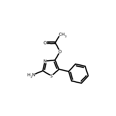 CC(=O)Oc1nc(N)sc1-c1ccccc1